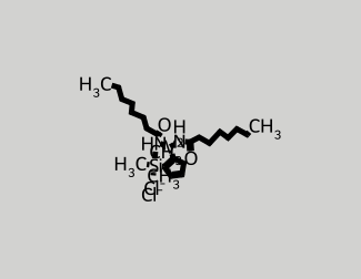 CCCCCCCC(=O)[NH][V+2]([NH]C(=O)CCCCCCC)[C]1=C([Si](C)(C)C)C=CC1.[Cl-].[Cl-]